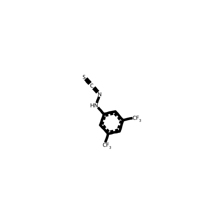 FC(F)(F)c1cc(NN=C=S)cc(C(F)(F)F)c1